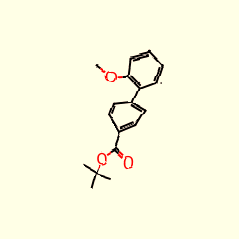 COc1ccc[c]c1-c1ccc(C(=O)OC(C)(C)C)cc1